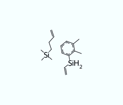 C=CCC[Si](C)(C)C.C=C[SiH2]c1cccc(C)c1C